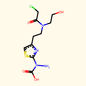 NN(C(=O)O)c1nc(CCN(CCO)C(=O)CCl)cs1